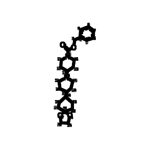 O=C(OCc1ccccc1)N1CCC(N2CCC(C3CCC4(CC3)OCCO4)CC2)CC1